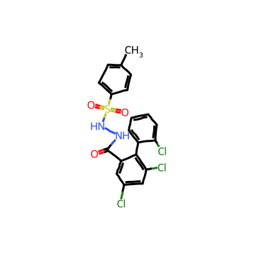 Cc1ccc(S(=O)(=O)NNC(=O)c2cc(Cl)cc(Cl)c2-c2ccccc2Cl)cc1